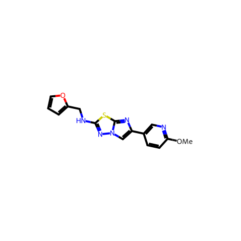 COc1ccc(-c2cn3nc(NCc4ccco4)sc3n2)cn1